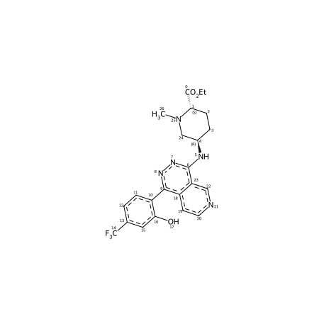 CCOC(=O)[C@@H]1CC[C@@H](Nc2nnc(-c3ccc(C(F)(F)F)cc3O)c3ccncc23)CN1C